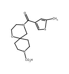 Cc1cc(C(=O)N2CCOC3(CCN(C(=O)O)CC3)C2)cs1